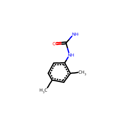 Cc1ccc(NC([NH])=O)c(C)c1